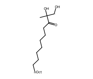 CCCCCCCCCCCCCCCC(=O)C(C)(O)[CH]O